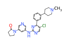 CN1CCC(c2cccc(-c3nc(Nc4cncc(N5CCCC5=O)c4)ncc3Cl)c2)CC1